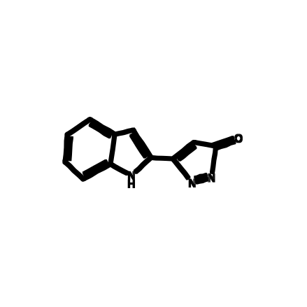 O=C1C=C(c2cc3ccccc3[nH]2)N=N1